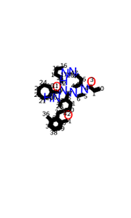 C=CC(=O)N1CCN(C2NC(OCC3CCCN3C)(C3CCCCCC3)NC3C[C@@]4(CCC32)Cc2c(C)cccc2CO4)CC1CC#N